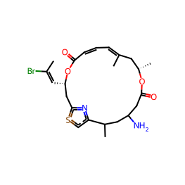 C/C(Br)=C\[C@H]1Cc2nc(cs2)C(C)CC(N)CC(=O)O[C@@H](C)C/C(C)=C/C=C\C(=O)O1